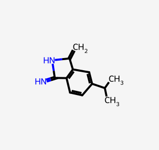 C=C1NC(=N)c2ccc(C(C)C)cc21